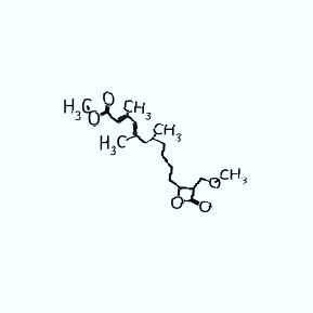 COCC1C(=O)OC1CCCCC(C)CC(C)=CC(C)=CC(=O)OC